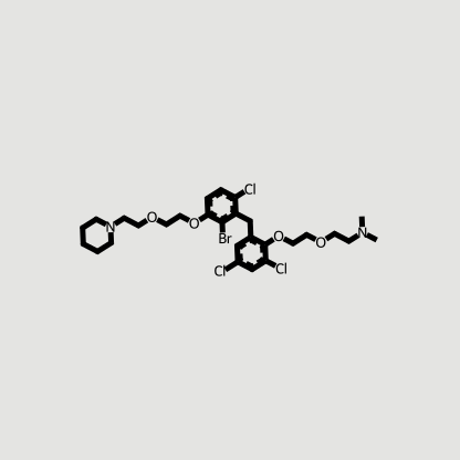 CN(C)CCOCCOc1c(Cl)cc(Cl)cc1Cc1c(Cl)ccc(OCCOCCN2CCCCC2)c1Br